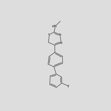 CNC1=NN=C(c2ccc(-c3cccc(F)c3)cc2)CS1